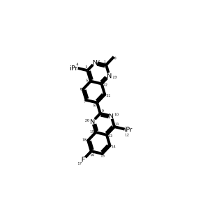 Cc1nc(C(C)C)c2ccc(-c3nc(C(C)C)c4ccc(F)cc4n3)cc2n1